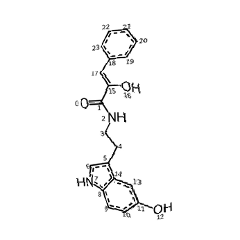 O=C(NCCc1c[nH]c2ccc(O)cc12)C(O)=Cc1ccccc1